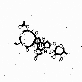 CC[C@H]1CCC[C@H](OC(C)=O)[C@@H](C)C(=O)C2=C[C@H]3[C@@H]4C[C@H](O[C@@H]5OCC(C)[C@H](OC)C(OC)C5OC)C[C@H]4C4CC(=O)OC4[C@H]3[C@@H]2CC(=O)O1